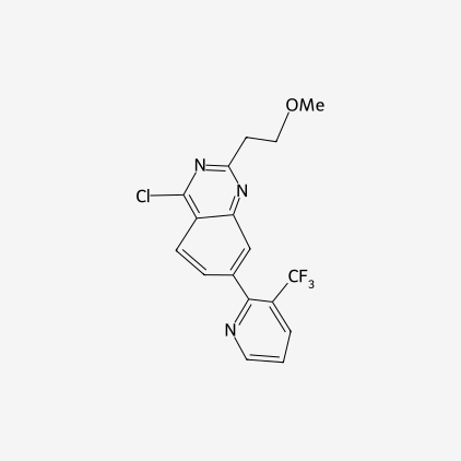 COCCc1nc(Cl)c2ccc(-c3ncccc3C(F)(F)F)cc2n1